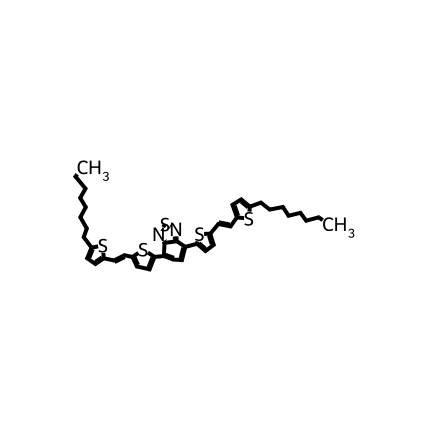 CCCCCCCCc1ccc(/C=C/c2ccc(-c3ccc(-c4ccc(/C=C/c5ccc(CCCCCCCC)s5)s4)c4nsnc34)s2)s1